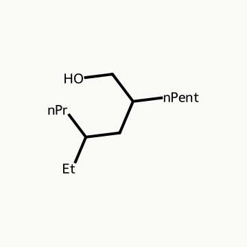 CCCCCC(CO)CC(CC)CCC